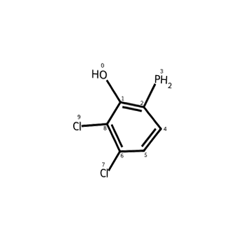 Oc1c(P)ccc(Cl)c1Cl